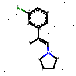 CC(=CN1CCCC1)c1cccc(Br)c1